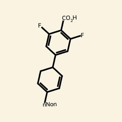 CCCCCCCCCC1=CCC(c2cc(F)c(C(=O)O)c(F)c2)C=C1